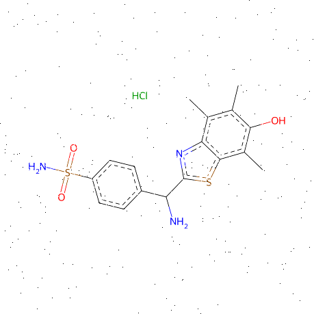 Cc1c(O)c(C)c2sc(C(N)c3ccc(S(N)(=O)=O)cc3)nc2c1C.Cl